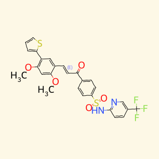 COc1cc(OC)c(-c2cccs2)cc1/C=C/C(=O)c1ccc(S(=O)(=O)Nc2ccc(C(F)(F)F)cn2)cc1